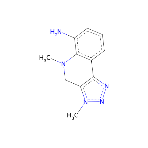 CN1Cc2c(nnn2C)-c2cccc(N)c21